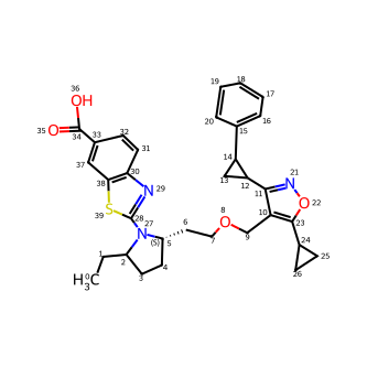 CCC1CC[C@@H](CCOCc2c(C3CC3c3ccccc3)noc2C2CC2)N1c1nc2ccc(C(=O)O)cc2s1